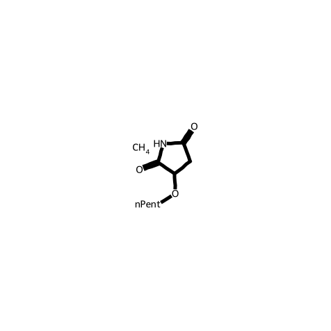 C.CCCCCOC1CC(=O)NC1=O